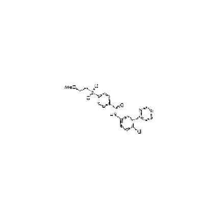 COCCS(=O)(=O)c1ccc(C(=O)Nc2ccc(Cl)c(-c3ccccn3)c2)cc1